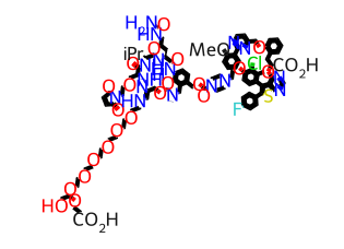 COc1ccccc1-c1nccc(COc2ccccc2C[C@@H](Oc2ncnc3sc(-c4ccc(F)cc4)c(-c4ccc(OCCN5CCN(C(=O)OCc6ccc(NC(=O)[C@H](CCCNC(N)=O)NC(=O)[C@@H](NC(=O)CCOCCN7C(=O)C=CC7=O)C(C)C)cc6CN(C)C(=O)OC/C(=C/NCCOCCOCCOCCOCCOCCOC(CO)OCCC(=O)O)N=N)CC5)c(Cl)c4C)c23)C(=O)O)n1